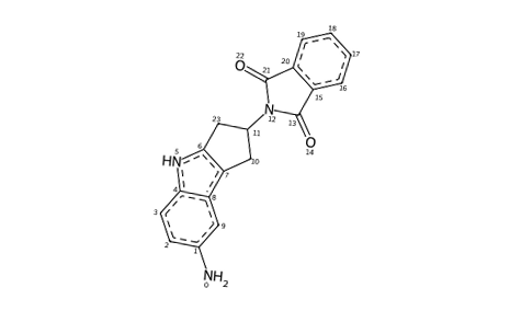 Nc1ccc2[nH]c3c(c2c1)CC(N1C(=O)c2ccccc2C1=O)C3